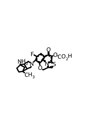 CC12CCC(N)(C1)C1CN(c3c(F)cc4c(=O)c(OC(=O)O)c5scc6n5c4c3OC6)CC12